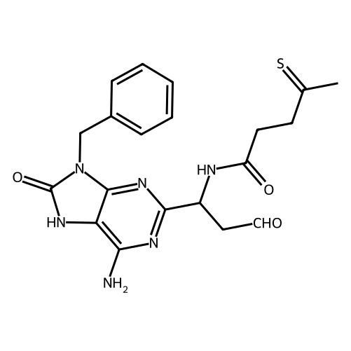 CC(=S)CCC(=O)NC(CC=O)c1nc(N)c2[nH]c(=O)n(Cc3ccccc3)c2n1